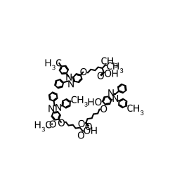 COc1cc2nc(-c3ccccc3)n(-c3ccc(C)cc3)c2cc1OCCCCC(OC(=O)CCCCCOc1cc2c(cc1O)nc(-c1ccccc1)n2-c1ccc(C)cc1)C(=O)O.Cc1ccc(-n2c(-c3ccccc3)nc3ccc(OCCCCC(C(=O)O)C(C)C)cc32)cc1